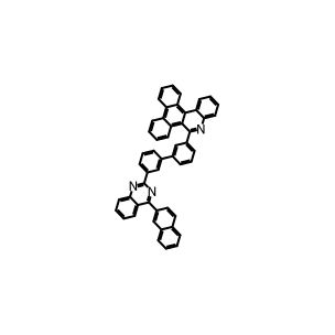 c1cc(-c2cccc(-c3nc4ccccc4c4c5ccccc5c5ccccc5c34)c2)cc(-c2nc(-c3ccc4ccccc4c3)c3ccccc3n2)c1